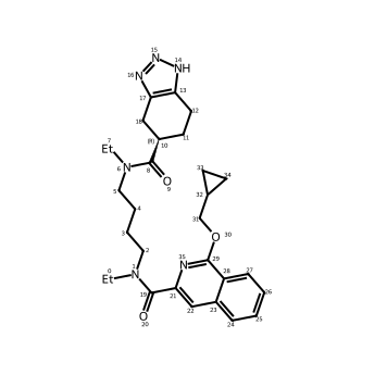 CCN(CCCCN(CC)C(=O)[C@@H]1CCc2[nH]nnc2C1)C(=O)c1cc2ccccc2c(OCC2CC2)n1